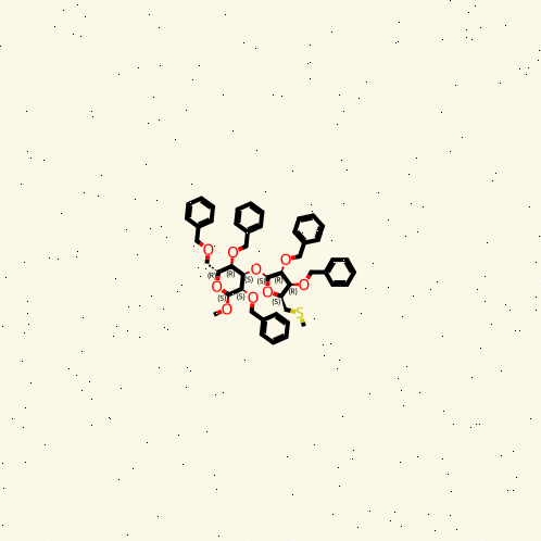 CO[C@H]1O[C@H](COCc2ccccc2)[C@@H](OCc2ccccc2)[C@H](O[C@H]2O[C@H](CSC)[C@H](OCc3ccccc3)[C@H]2OCc2ccccc2)[C@@H]1OCc1ccccc1